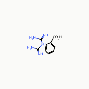 N=C(N)NC(=N)N.O=C(O)c1ccccc1